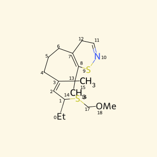 CCC(/C=C1/CCCC2=C(SN=CC2)C1(C)C)SCOC